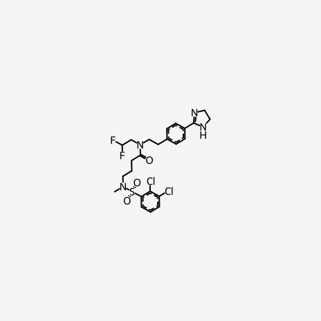 CN(CCCC(=O)N(CCc1ccc(C2=NCCN2)cc1)CC(F)F)S(=O)(=O)c1cccc(Cl)c1Cl